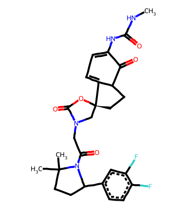 CNC(=O)NC1=CC=C2C(CC[C@]23CN(CC(=O)N2C(c4ccc(F)c(F)c4)CCC2(C)C)C(=O)O3)C1=O